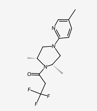 Cc1ccc(N2C[C@@H](C)N(C(=O)CC(F)(F)F)[C@@H](C)C2)nc1